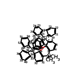 C[Si]1(C)c2cccc([Si](c3ccccc3)(c3ccccc3)c3ccccc3)c2Oc2c1cccc2[Si](c1ccccc1)(c1ccccc1)c1ccccc1